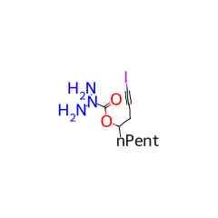 CCCCCC(CC#CI)OC(=O)N(N)N